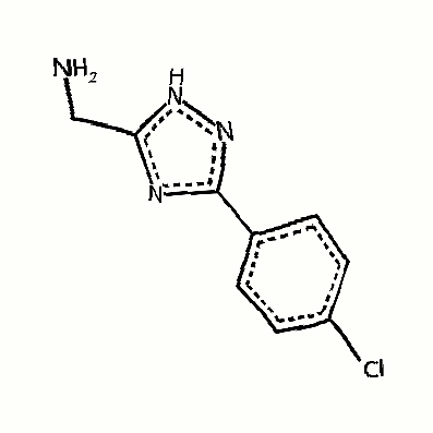 NCc1nc(-c2ccc(Cl)cc2)n[nH]1